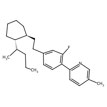 CCCC(C)[C@@H]1CCCC[C@H]1CCc1ccc(-c2ccc(C)cn2)c(F)c1